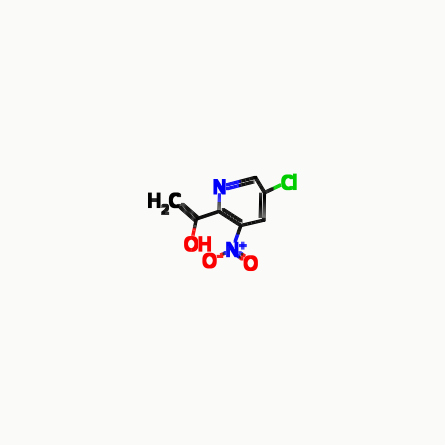 C=C(O)c1ncc(Cl)cc1[N+](=O)[O-]